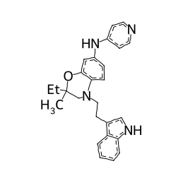 CCC1(C)CN(CCc2c[nH]c3ccccc23)c2ccc(Nc3ccncc3)cc2O1